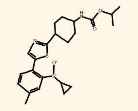 Cc1ccc(-c2cnc(C3CCC(NC(=O)OC(C)C)CC3)s2)c([S+]([O-])C2CC2)c1